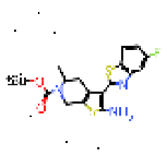 CC1Cc2c(sc(N)c2-c2nc3cc(F)ccc3s2)CN1C(=O)OC(C)(C)C